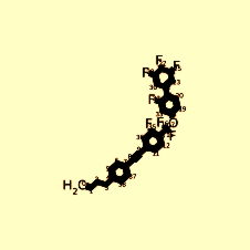 C=CCCc1ccc(C#Cc2ccc(C(F)(F)Oc3ccc(C4=CC(F)C(F)C(F)=C4)c(F)c3)c(F)c2)cc1